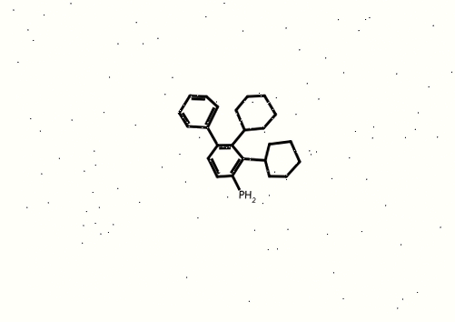 Pc1ccc(-c2ccccc2)c(C2CCCCC2)c1C1CCCCC1